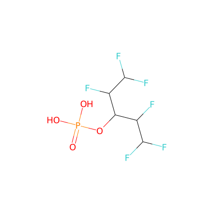 O=P(O)(O)OC(C(F)C(F)F)C(F)C(F)F